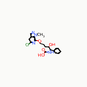 Cn1ncc2cc(Cl)nc(OCCCC(O)C(NC(=O)O)c3ccccc3)c21